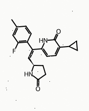 Cc1ccc(C(=C[C@H]2CCC(=O)N2)c2ccc(C3CC3)c(=O)[nH]2)c(F)c1